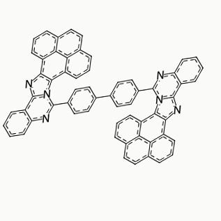 c1ccc2c(c1)nc(-c1ccc(-c3ccc(-c4nc5ccccc5c5nc6c7cccc8ccc9cccc(c9c87)c6n45)cc3)cc1)n1c2nc2c3cccc4ccc5cccc(c5c43)c21